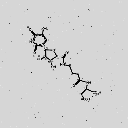 Cc1cn([C@@H]2O[C@H](C(=O)NCCCC(=O)NC(CC(=O)O)C(=O)O)[C@@H](O)[C@H]2O)c(=O)[nH]c1=O